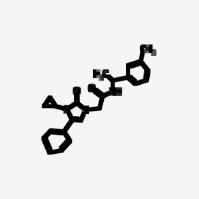 Cc1cccc(C(C)NC(=O)Cn2cc(-c3ccccc3)n(C3CC3)c2=O)c1